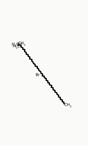 CCCCCCCCCCCCCCCCCCCCCCCCCCCCCCCCCCCCCCCCCCCCCCCCCCC[N+](C)(C)C.[Br-]